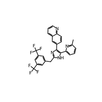 Cc1cccc(-c2[nH]c(Cc3cc(C(F)(F)F)cc(C(F)(F)F)c3)nc2-c2ccc3ncccc3c2)n1